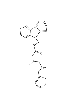 CC(CC(=O)Sc1ccccc1)NC(=O)OCC1c2ccccc2-c2ccccc21